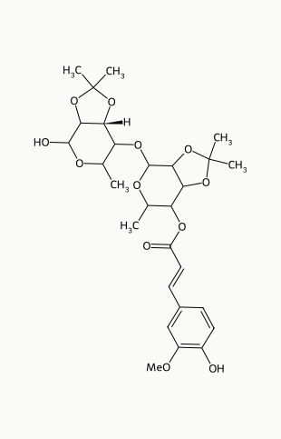 COc1cc(/C=C/C(=O)OC2C(C)OC(OC3C(C)OC(O)C4OC(C)(C)O[C@H]34)C3OC(C)(C)OC23)ccc1O